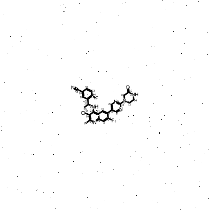 Cc1nc2cc(F)c(-c3cnc(N4CCNC(=O)C4)nc3)cc2c(NC(C)c2cc(C#N)ccc2F)c1Cl